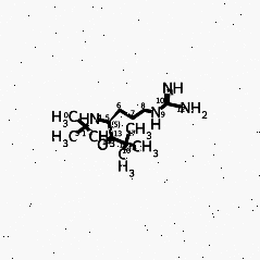 CC(C)(C)N[C@@H](CCCNC(=N)N)C(=O)C(C)(C)C